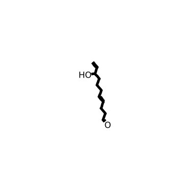 C=CC(O)CCCC=CCCC=O